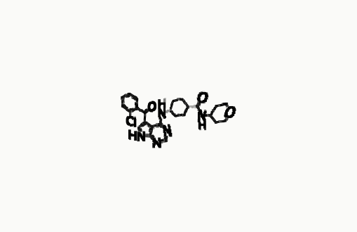 O=C(c1ccccc1Cl)c1c[nH]c2ncnc(N[C@H]3CC[C@@H](C(=O)NC4CCOCC4)CC3)c12